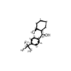 O=C1CCCCC1[C@@H](O)c1ccc(C(F)(F)F)cc1